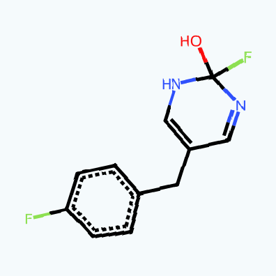 OC1(F)N=CC(Cc2ccc(F)cc2)=CN1